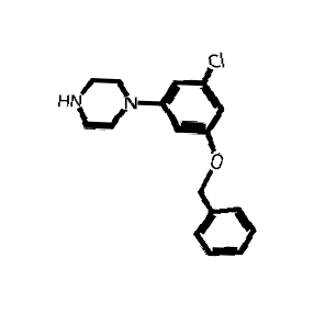 Clc1cc(OCc2ccccc2)cc(N2CCNCC2)c1